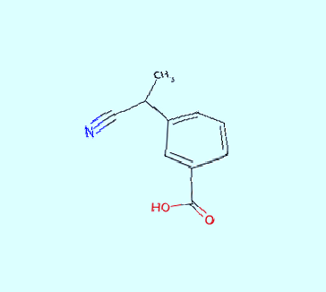 CC(C#N)c1cccc(C(=O)O)c1